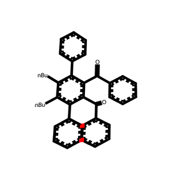 CCCCc1c(CCCC)c(-c2ccccc2)c(C(=O)c2ccccc2)c(C(=O)c2ccccc2)c1-c1ccccc1